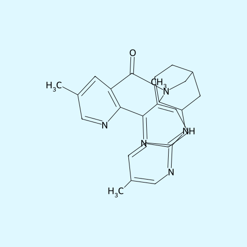 Cc1ccc(NC2CC3CCC2N(C(=O)c2cc(C)cnc2-c2ncccc2C)C3)nc1